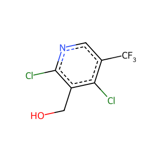 OCc1c(Cl)ncc(C(F)(F)F)c1Cl